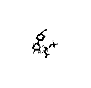 COc1ccc(-c2ncc(F)c(N[C@@H](C(=O)NCC(F)(F)F)C(C)C)n2)cc1